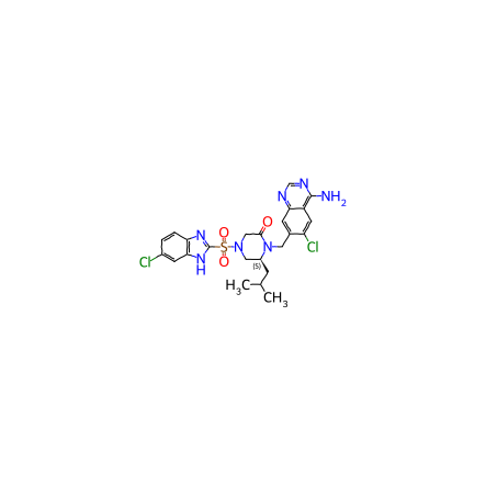 CC(C)C[C@H]1CN(S(=O)(=O)c2nc3ccc(Cl)cc3[nH]2)CC(=O)N1Cc1cc2ncnc(N)c2cc1Cl